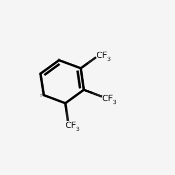 FC(F)(F)C1=C(C(F)(F)F)C(C(F)(F)F)[C]C=[C]1